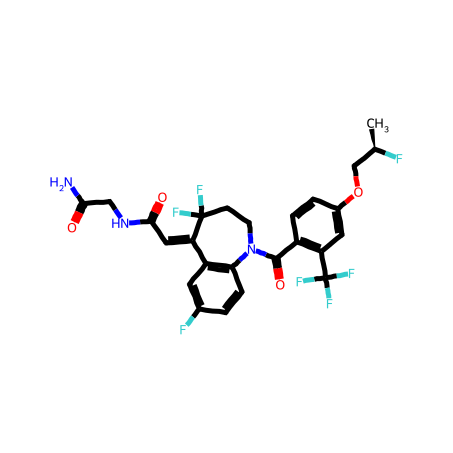 C[C@@H](F)COc1ccc(C(=O)N2CCC(F)(F)/C(=C\C(=O)NCC(N)=O)c3cc(F)ccc32)c(C(F)(F)F)c1